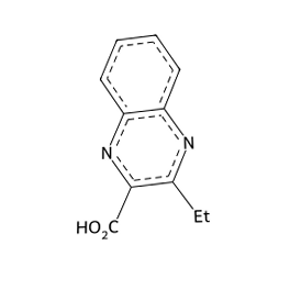 CCc1nc2ccccc2nc1C(=O)O